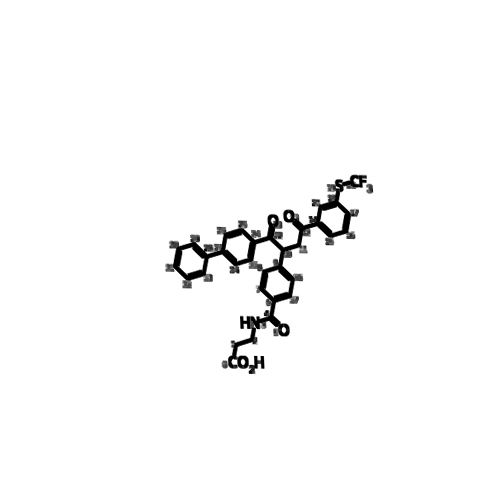 O=C(O)CCNC(=O)c1ccc(C(CC(=O)c2cccc(SC(F)(F)F)c2)C(=O)c2ccc(-c3ccccc3)cc2)cc1